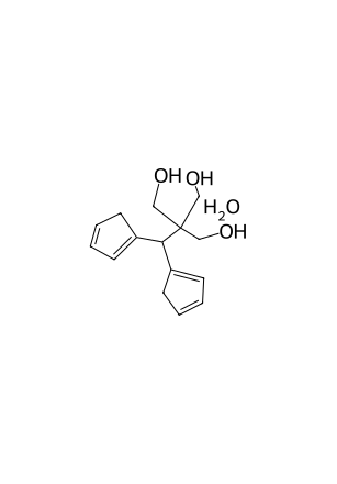 O.OCC(CO)(CO)C(C1=CC=CC1)C1=CC=CC1